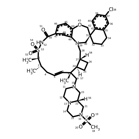 C[C@@H]1[C@@H](C)C/C=C/[C@@](C)(CN2CCN3CCN(S(C)(=O)=O)C[C@H]3C2)[C@@H]2CC[C@H]2CN2C[C@@]3(CCCc4cc(Cl)ccc43)COc3ccc(cc32)C(=O)NS1(=O)=O